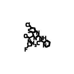 C[C@H](Nc1nc(C(=O)N2CCC(F)C2)c2sc(Cl)cc2n1)c1ccccn1